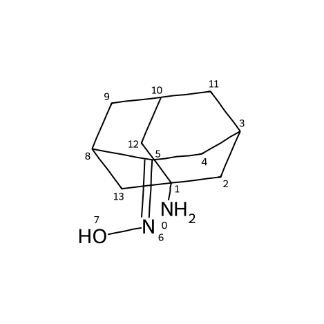 NC12CC3C/C(=N/O)C(CC(C3)C1)C2